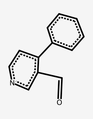 O=Cc1cnccc1-c1ccccc1